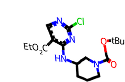 CCOC(=O)c1cnc(Cl)nc1NC1CCCN(C(=O)OC(C)(C)C)C1